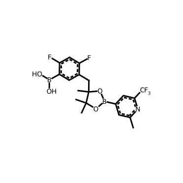 Cc1cc(B2OC(C)(C)C(C)(Cc3cc(B(O)O)c(F)cc3F)O2)cc(C(F)(F)F)n1